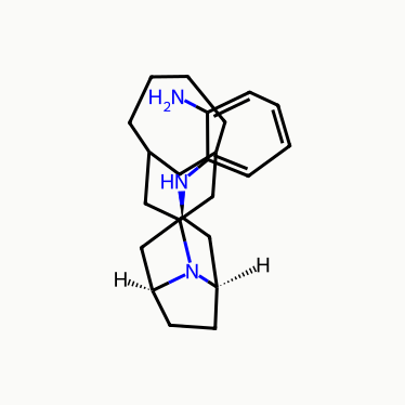 Nc1ccccc1N[C@H]1C[C@H]2CC[C@@H](C1)N2C1CC2CCCCC(C2)C1